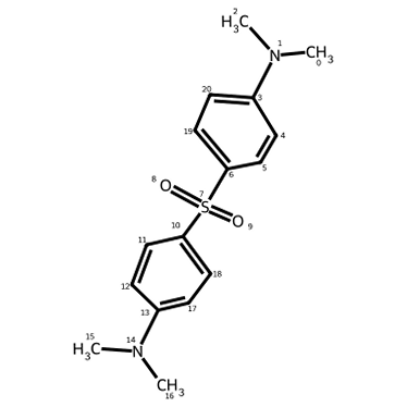 CN(C)c1ccc(S(=O)(=O)c2ccc(N(C)C)cc2)cc1